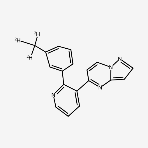 [2H]C([2H])([2H])c1cccc(-c2ncccc2-c2ccn3nccc3n2)c1